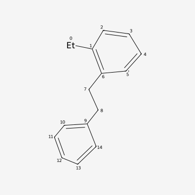 CCc1ccc[c]c1CCc1ccccc1